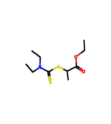 CCOC(=O)C(C)SC(=S)N(CC)CC